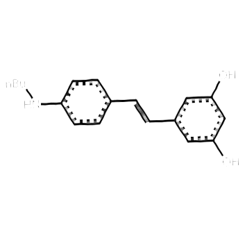 CCCCNc1ccc(/C=C/c2cc(O)cc(O)c2)cc1